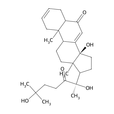 CC(C)(O)CCC(=O)[C@](C)(O)C1CC[C@@]2(O)C3=CC(=O)C4CC=CCC4(C)C3CCC12C